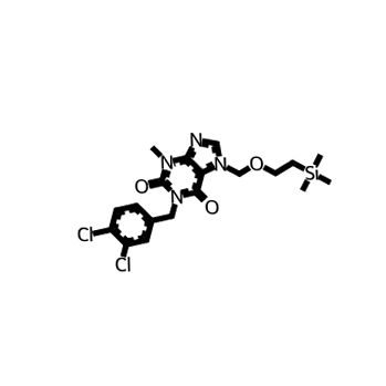 Cn1c(=O)n(Cc2ccc(Cl)c(Cl)c2)c(=O)c2c1ncn2COCC[Si](C)(C)C